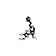 Nc1nc2cnc(CCc3cccs3)nc2n1C1O[C@H](CO)[C@@H](O)[C@H]1O